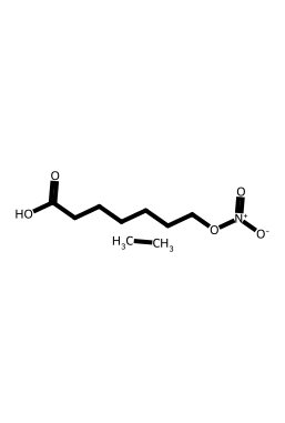 CC.O=C(O)CCCCCCO[N+](=O)[O-]